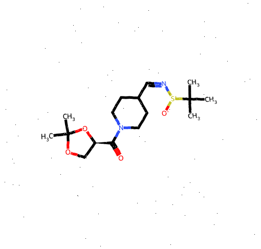 CC1(C)OC[C@H](C(=O)N2CCC(/C=N\[S+]([O-])C(C)(C)C)CC2)O1